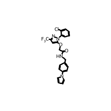 O=C(COc1cc(C(F)(F)F)nn1-c1ccccc1Cl)NCc1ccc(-n2cccc2)cc1